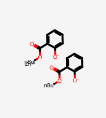 CCCCOC(=O)c1ccccc1[O-].CCCCOC(=O)c1ccccc1[O-].[Zn+2]